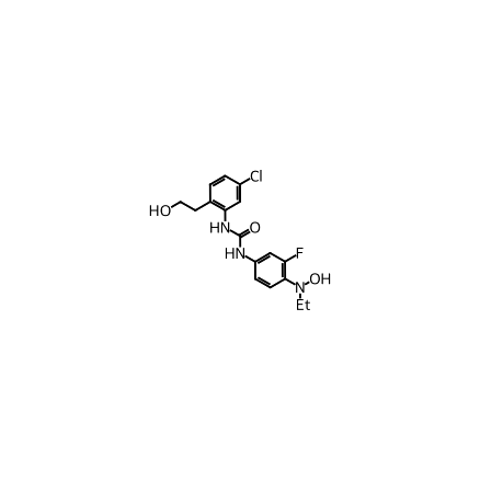 CCN(O)c1ccc(NC(=O)Nc2cc(Cl)ccc2CCO)cc1F